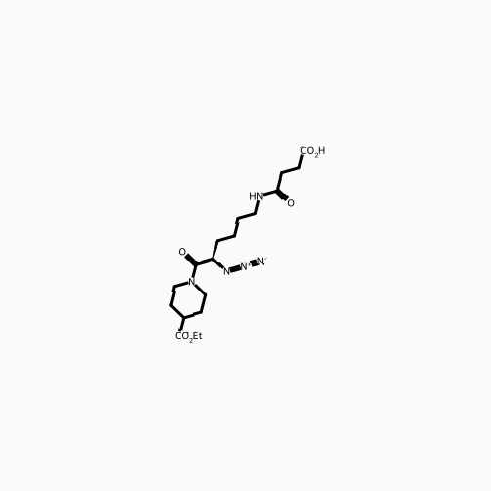 CCOC(=O)C1CCN(C(=O)[C@@H](CCCCNC(=O)CCC(=O)O)N=[N+]=[N-])CC1